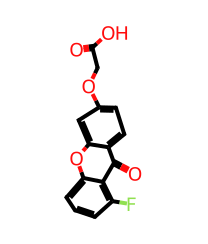 O=C(O)COc1ccc2c(=O)c3c(F)cccc3oc2c1